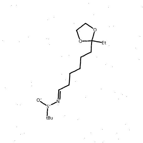 CCC1(CCCCCC=N[S+]([O-])C(C)(C)C)OCCO1